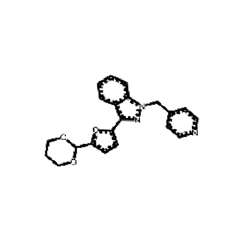 c1ccc2c(c1)c(-c1ccc(C3OCCCO3)o1)nn2Cc1ccncc1